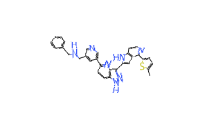 Cc1ccc(-c2nccc3[nH]c(-c4n[nH]c5ccc(-c6cncc(CNCc7ccccc7)c6)nc45)cc23)s1